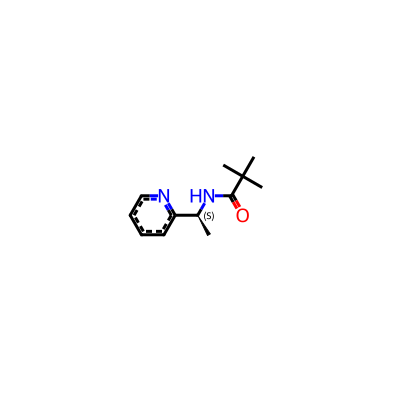 C[C@H](NC(=O)C(C)(C)C)c1ccccn1